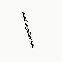 CCCCCOCCOCCOCCOCCCC